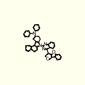 C1=C(N(c2ccccc2)c2ccccc2)CCc2c1c1c3ccccc3ccc1n2-c1nc(-c2cccc3c2oc2ccccc23)c2ccccc2n1